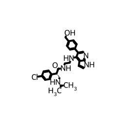 CC(C)NC[C@@H](C(=O)NCCNc1c(-c2ccc(CO)cc2)cnc2[nH]ccc12)c1ccc(Cl)cc1